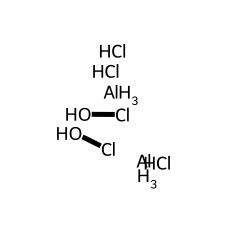 Cl.Cl.Cl.OCl.OCl.[AlH3].[AlH3]